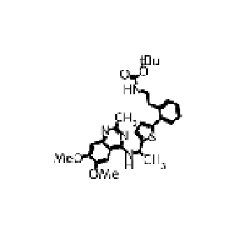 COc1cc2nc(C)nc(NC(C)c3ccc(-c4ccccc4CCNC(=O)OC(C)(C)C)s3)c2cc1OC